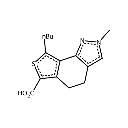 CCCCc1sc(C(=O)O)c2c1-c1nn(C)cc1CC2